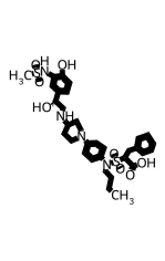 CCCCN(c1ccc(N2CCC(NC[C@H](O)c3ccc(O)c(NS(C)(=O)=O)c3)CC2)cc1)S(=O)(=O)C(Cc1ccccc1)C(=O)O